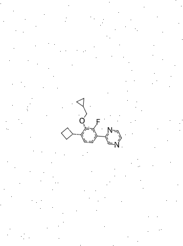 Fc1c(-c2cnccn2)ccc(C2CCC2)c1OCC1CC1